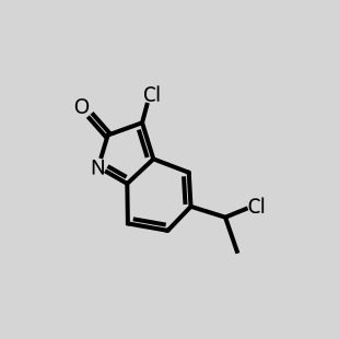 CC(Cl)c1ccc2c(c1)=C(Cl)C(=O)N=2